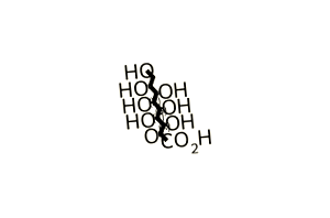 O=C(O)C(=O)[C@H](O)[C@@H](O)[C@@H](O)[C@H](O)C(O)C(O)CO